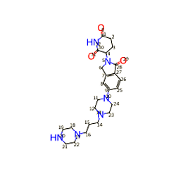 O=C1CCC(N2Cc3cc(N4CCN(CCCN5CCNCC5)CC4)ccc3C2=O)C(=O)N1